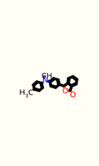 Cc1ccc(N(C)c2ccc(C3OC(=O)c4ccccc43)cc2)cc1